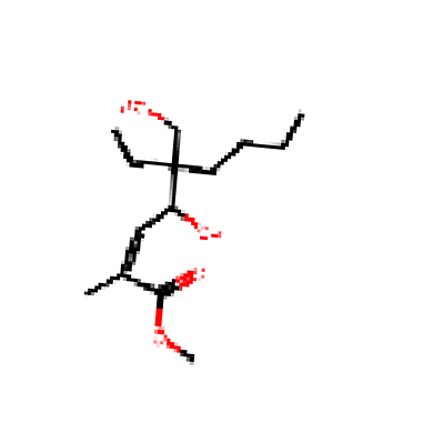 CCCCC(CC)(CO)C(O)C=C(C)C(=O)OC